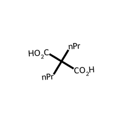 CCCC(CCC)(C(=O)O)C(=O)O